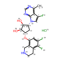 Cc1ncnc2c1c(F)cn2[C@@H]1C[C@H](Oc2cc(F)c(F)c3c2CNCC3)[C@@H](O)[C@H]1O.Cl